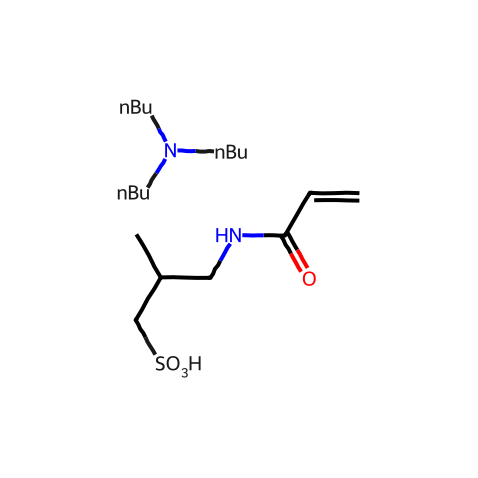 C=CC(=O)NCC(C)CS(=O)(=O)O.CCCCN(CCCC)CCCC